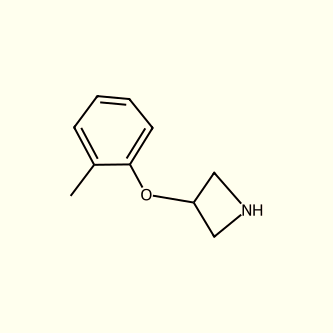 Cc1ccccc1OC1CNC1